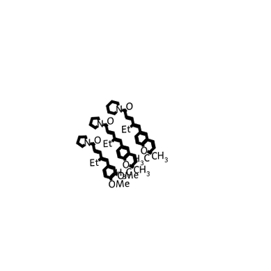 CCC(/C=C/C(=O)N1CCCC1)=C\c1ccc(OC)c(OC)c1.CCC(/C=C/C(=O)N1CCCC1)=C\c1ccc2c(c1)C=CC(C)(C)O2.CCC(/C=C/C(=O)N1CCCCC1)=C\c1ccc2c(c1)C=CC(C)(C)O2